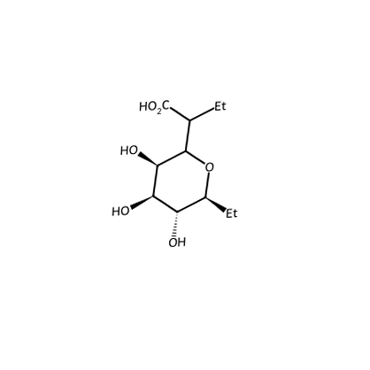 CCC(C(=O)O)C1O[C@@H](CC)[C@H](O)[C@@H](O)[C@H]1O